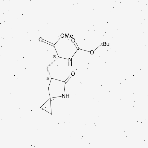 COC(=O)[C@@H](C[C@H]1CC2(CC2)NC1=O)NC(=O)OC(C)(C)C